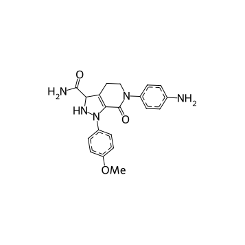 COc1ccc(N2NC(C(N)=O)C3=C2C(=O)N(c2ccc(N)cc2)CC3)cc1